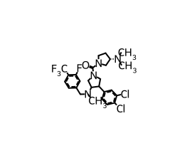 CN(Cc1ccc(C(F)(F)F)c(F)c1)C1CN(C(=O)N2CC[C@H](N(C)C)C2)CC1c1ccc(Cl)c(Cl)c1